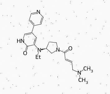 CCN(c1cc(-c2ccncc2)c[nH]c1=O)[C@H]1CCN(C(=O)/C=C/CN(C)C)C1